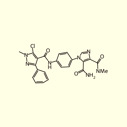 CNC(=O)c1ncn(-c2ccc(NC(=O)c3c(-c4ccccc4)nn(C)c3Cl)cc2)c1C(N)=O